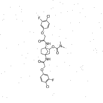 CN(C)C(=O)OC1CC2(NC(=O)COc3ccc(Cl)c(F)c3)CCC1(NC(=O)COc1ccc(Cl)c(F)c1)C2